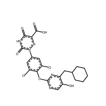 O=C(O)c1nn(-c2cc(Cl)c(Oc3ncc(O)c(CC4CCCCC4)n3)c(Cl)c2)c(=O)[nH]c1=O